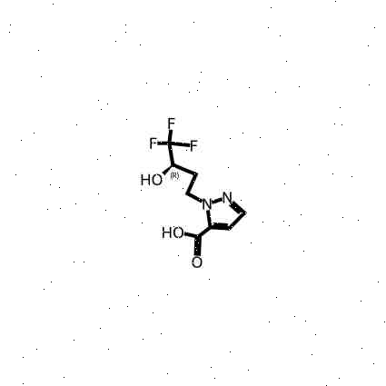 O=C(O)c1ccnn1CC[C@@H](O)C(F)(F)F